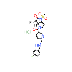 CC(C)[C@H]1C(=O)N(S(C)(=O)=O)C2=CCN(C(=O)c3ccc(CNCc4ccc(F)cc4)nc3)[C@@H]21.Cl